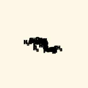 C[C@H]1CN(c2cc3c(Nc4cc(F)c(Oc5ccc6c(c5)nnn6C)cc4F)ncnc3cn2)C(=O)/C1=C/CN(C)C